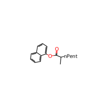 CCCCCC(C)C(=O)Oc1cccc2ccccc12